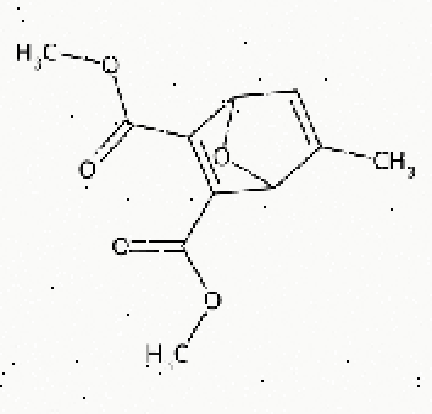 COC(=O)C1=C(C(=O)OC)C2OC1C=C2C